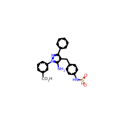 Nc1c(Cc2ccc(N[SH](=O)=O)cc2)c(-c2ccccc2)nn1-c1cccc(C(=O)O)c1